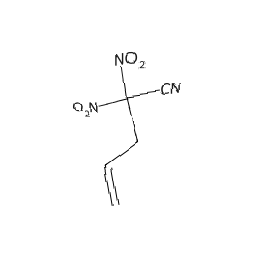 C=CCC(C#N)([N+](=O)[O-])[N+](=O)[O-]